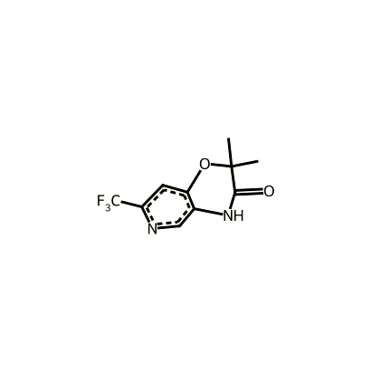 CC1(C)Oc2cc(C(F)(F)F)ncc2NC1=O